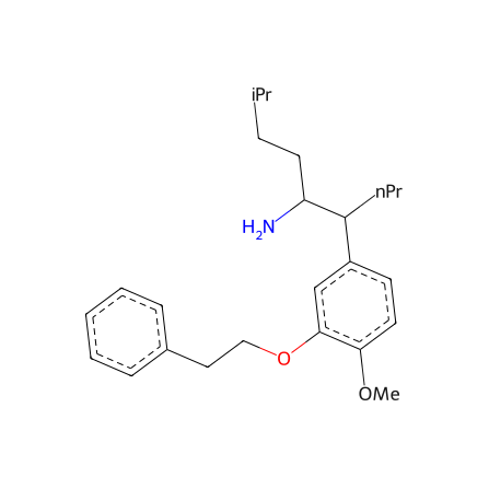 CCCC(c1ccc(OC)c(OCCc2ccccc2)c1)C(N)CCC(C)C